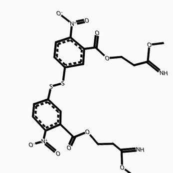 COC(=N)CCOC(=O)c1cc(SSc2ccc([N+](=O)[O-])c(C(=O)OCCC(=N)OC)c2)ccc1[N+](=O)[O-]